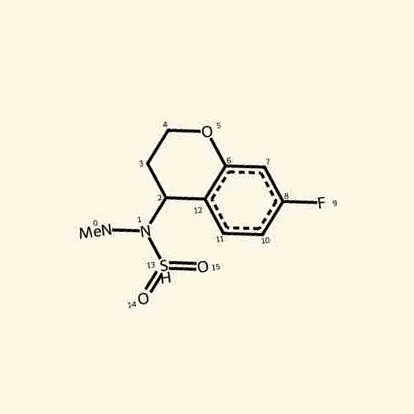 CNN(C1CCOc2cc(F)ccc21)[SH](=O)=O